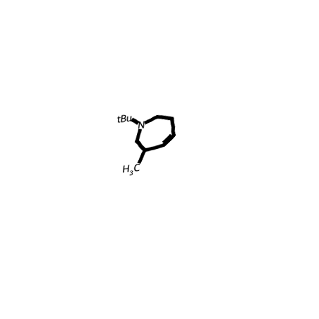 CC1C=CCCN(C(C)(C)C)C1